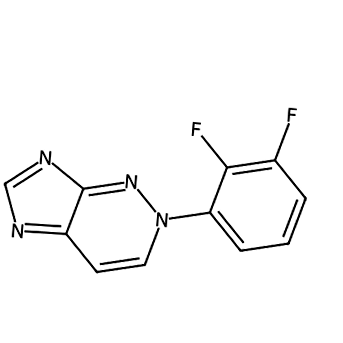 Fc1cccc(-n2ccc3ncnc-3n2)c1F